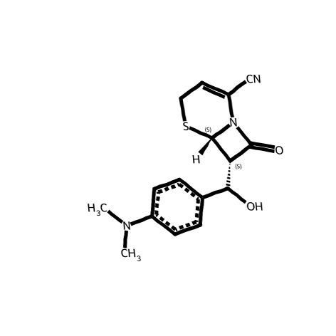 CN(C)c1ccc(C(O)[C@H]2C(=O)N3C(C#N)=CCS[C@@H]23)cc1